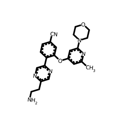 Cc1cc(Oc2cc(C#N)ccc2-c2cnc(CCN)cn2)cc(N2CCOCC2)n1